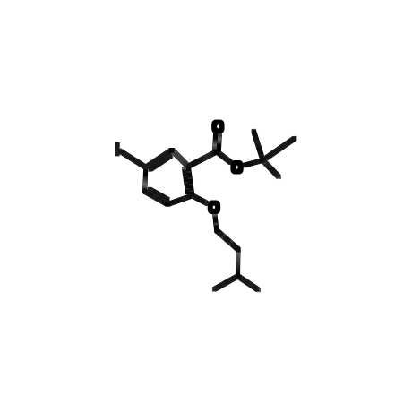 CC(C)CCOc1ccc(I)cc1C(=O)OC(C)(C)C